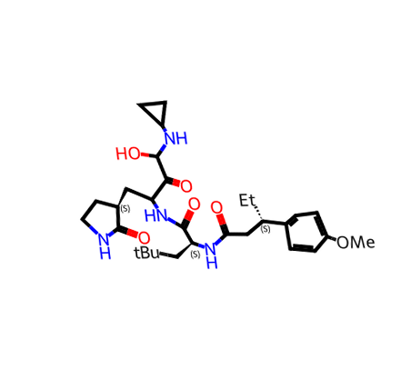 CC[C@@H](CC(=O)N[C@@H](CC(C)(C)C)C(=O)NC(C[C@@H]1CCNC1=O)C(=O)C(O)NC1CC1)c1ccc(OC)cc1